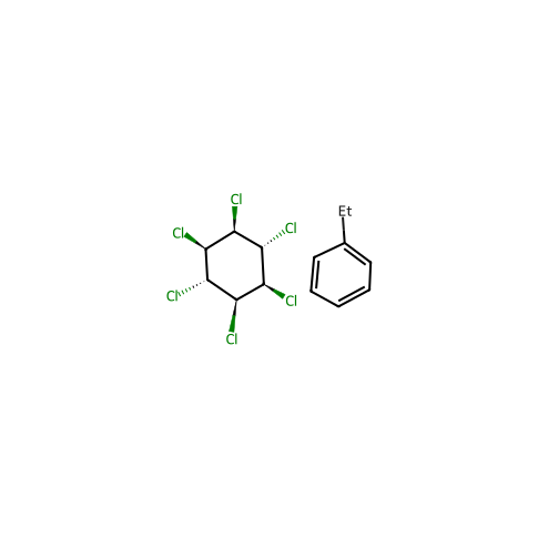 CCc1ccccc1.Cl[C@H]1[C@H](Cl)[C@@H](Cl)[C@@H](Cl)[C@H](Cl)[C@H]1Cl